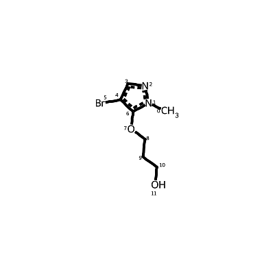 Cn1ncc(Br)c1OCCCO